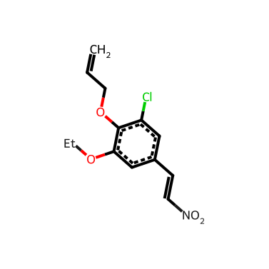 C=CCOc1c(Cl)cc(/C=C/[N+](=O)[O-])cc1OCC